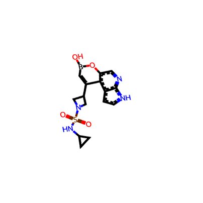 O=S(=O)(NC1CC1)N1CC(C2=CB(O)Oc3cnc4[nH]ccc4c32)C1